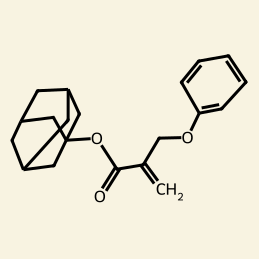 C=C(COc1ccccc1)C(=O)OC12CC3CC(CC(C3)C1)C2